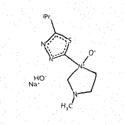 CC(C)c1nnc([N+]2([O-])CCN(C)C2)s1.[Na+].[OH-]